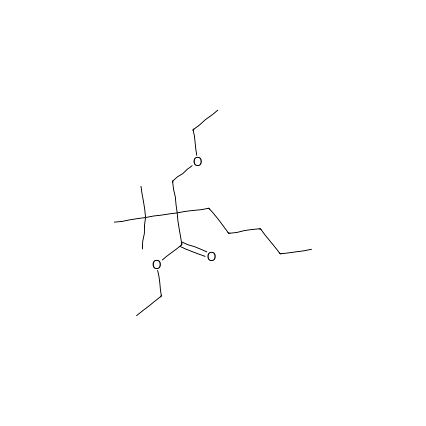 CCCCCC(COCC)(C(=O)OCC)C(C)(C)C